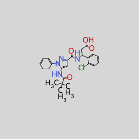 CC(C)(C)C(=O)Nc1cc(C(=O)NC(CC(=O)O)c2ccccc2Cl)nn1-c1ccccc1